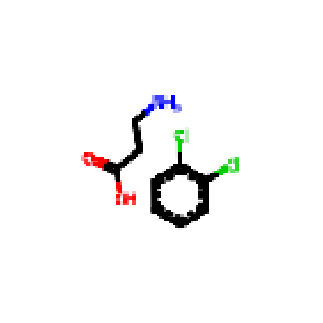 Clc1ccccc1Cl.NCCC(=O)O